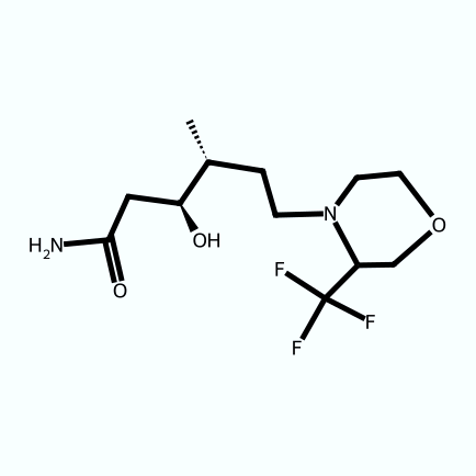 C[C@H](CCN1CCOCC1C(F)(F)F)[C@@H](O)CC(N)=O